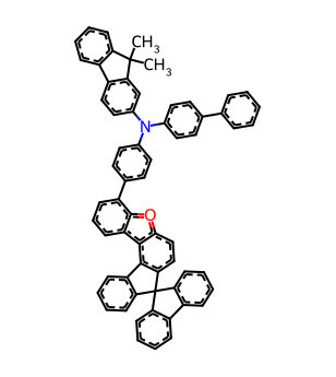 CC1(C)c2ccccc2-c2ccc(N(c3ccc(-c4ccccc4)cc3)c3ccc(-c4cccc5c4oc4ccc6c(c45)-c4ccccc4C64c5ccccc5-c5ccccc54)cc3)cc21